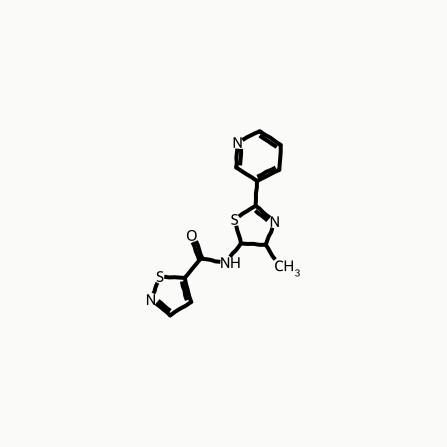 CC1N=C(c2cccnc2)SC1NC(=O)c1ccns1